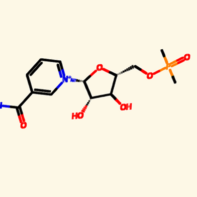 CP(C)(=O)OC[C@H]1O[C@@H]([n+]2cccc(C(N)=O)c2)[C@@H](O)C1O